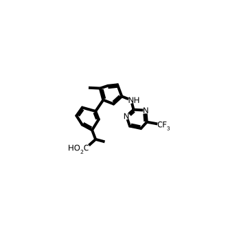 Cc1ccc(Nc2nccc(C(F)(F)F)n2)cc1-c1cccc(C(C)C(=O)O)c1